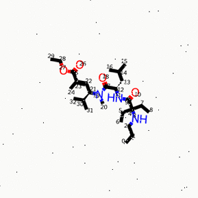 CCCNC(CC)(CC)C(=O)N[C@@H](CC(C)C)C(=O)N(C)[C@H](/C=C(\C)C(=O)OCC)C(C)C